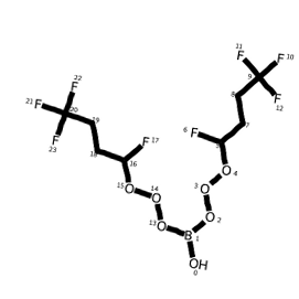 OB(OOOC(F)CCC(F)(F)F)OOOC(F)CCC(F)(F)F